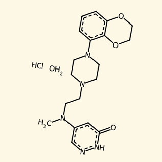 CN(CCN1CCN(c2cccc3c2OCCO3)CC1)c1cn[nH]c(=O)c1.Cl.O